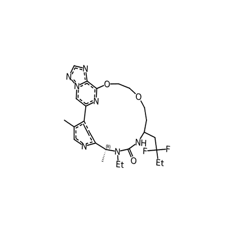 CCN1C(=O)NC(CC(F)(F)CC)CCOCCOc2nc(cn3ncnc23)-c2cc(ncc2C)[C@H]1C